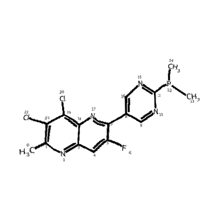 Cc1nc2cc(F)c(-c3cnc(P(C)C)nc3)nc2c(Cl)c1Cl